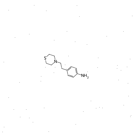 Nc1ccc(CCN2CCSCC2)cc1